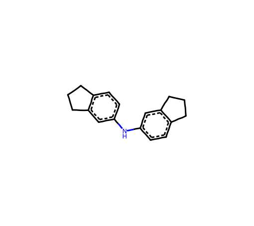 c1cc2c(cc1Nc1ccc3c(c1)CCC3)CCC2